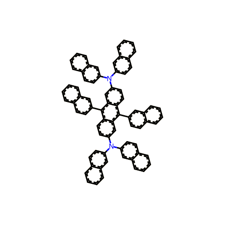 c1ccc2cc(-c3c4ccc(N(c5ccc6ccccc6c5)c5ccc6ccccc6c5)cc4c(-c4ccc5ccccc5c4)c4ccc(N(c5ccc6ccccc6c5)c5ccc6ccccc6c5)cc34)ccc2c1